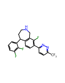 Fc1cccc(C2CCNCc3c2ccc(-c2ccc(C(F)(F)F)nn2)c3F)c1F